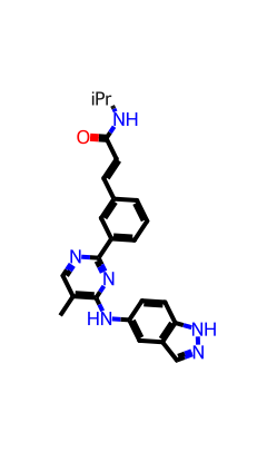 Cc1cnc(-c2cccc(/C=C/C(=O)NC(C)C)c2)nc1Nc1ccc2[nH]ncc2c1